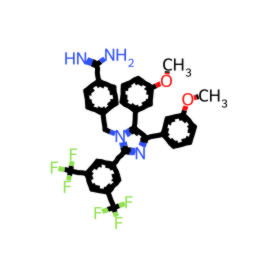 COc1cccc(-c2nc(-c3cc(C(F)(F)F)cc(C(F)(F)F)c3)n(Cc3ccc(C(=N)N)cc3)c2-c2cccc(OC)c2)c1